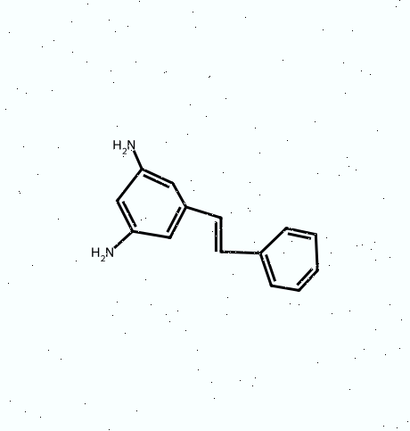 Nc1cc(N)cc(C=Cc2ccccc2)c1